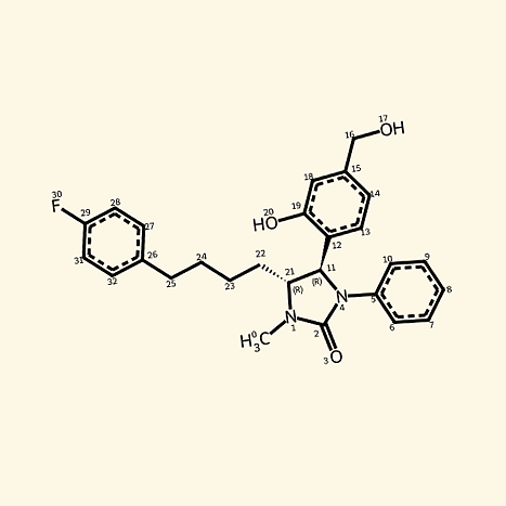 CN1C(=O)N(c2ccccc2)[C@H](c2ccc(CO)cc2O)[C@H]1CCCCc1ccc(F)cc1